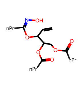 C=CC(OC(CCC)=NO)C(COC(=O)CCC)OC(=O)CCC